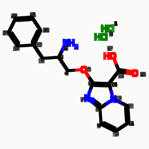 Cl.Cl.NC(COc1nc2ccccn2c1C(=O)O)Cc1ccccc1